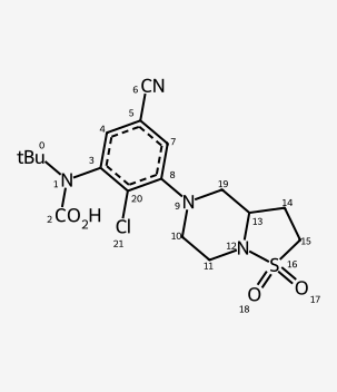 CC(C)(C)N(C(=O)O)c1cc(C#N)cc(N2CCN3C(CCS3(=O)=O)C2)c1Cl